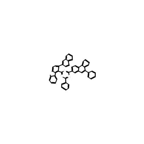 c1ccc(-c2nc(-c3ccc4c(c3)cc(-c3ccccc3)c3ccccc34)nc(-c3c(-c4ccc5ccccc5c4)ccc4oc5ccccc5c34)n2)cc1